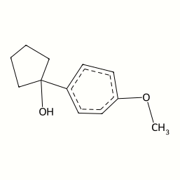 COc1ccc(C2(O)CCCC2)cc1